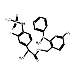 CC(C(=O)NCc1ccc(C(F)(F)F)nc1N(C)c1ccccc1)c1ccc(NS(C)(=O)=O)c(F)c1